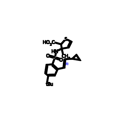 CC(C)(C)c1ccc(S(=O)(=O)NC2(C)C=CSC2C(=O)O)c(/C=C/C2CC2)c1